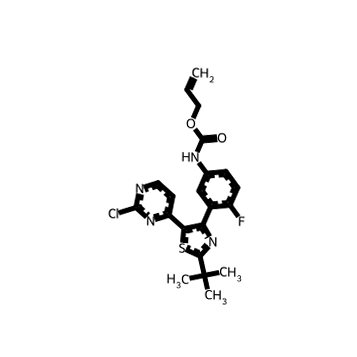 C=CCOC(=O)Nc1ccc(F)c(-c2nc(C(C)(C)C)sc2-c2ccnc(Cl)n2)c1